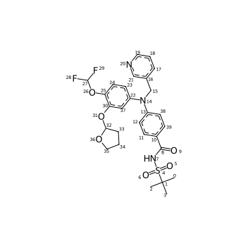 CC(C)(C)S(=O)(=O)NC(=O)c1ccc(N(Cc2cccnc2)c2ccc(OC(F)F)c(OC3CCCO3)c2)cc1